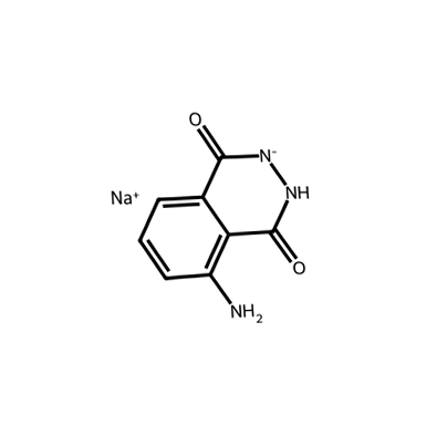 Nc1cccc2c(=O)[n-][nH]c(=O)c12.[Na+]